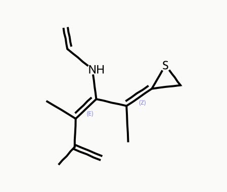 C=CNC(/C(C)=C1/CS1)=C(\C)C(=C)C